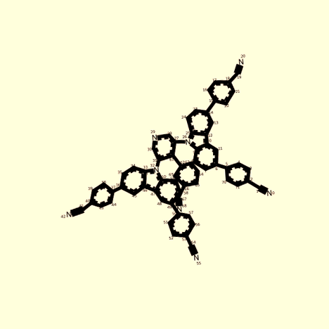 N#Cc1ccc(-c2ccc3c(c2)c2cc(-c4ccc(C#N)cc4)ccc2n3-c2cncc(-n3c4ccc(-c5ccc(C#N)cc5)cc4c4cc(-c5ccc(C#N)cc5)ccc43)c2-c2cccc(C#N)c2)cc1